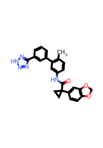 Cc1ccc(NC(=O)C2(c3ccc4c(c3)OCO4)CC2)cc1-c1cccc(-c2nn[nH]n2)c1